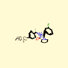 C[C@H](NC(=O)[C@H]1CCCCN1Cc1cccc(F)c1)c1ccc(C(=O)O)cc1